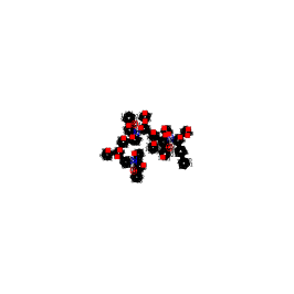 c1ccc(-c2ccc(-c3cc(-c4ccccc4)cc(-n4c5ccccc5c5c(-c6ccc(-c7cc(-c8ccccc8)cc(-n8c9cccc(-c%10cccc(-c%11cc(-c%12ccccc%12)cc(-c%12cccc(-n%13c%14ccccc%14c%14ccc%15c%16ccccc%16oc%15c%14%13)c%12)c%11)c%10)c9c9ccc%10c%11ccccc%11oc%10c98)c7)cc6-c6ccccc6)cc6c7ccccc7oc6c54)c3)cc2)cc1